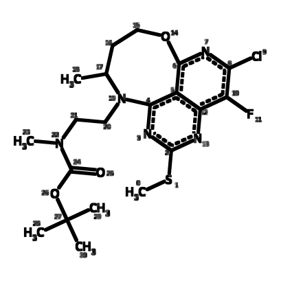 CSc1nc2c3c(nc(Cl)c(F)c3n1)OCCC(C)N2CCN(C)C(=O)OC(C)(C)C